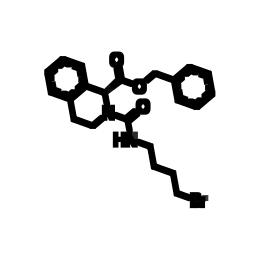 O=C(OCc1ccccc1)[C@@H]1c2ccccc2CCN1C(=O)NCCCCBr